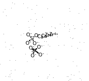 [Ca+2].[Ca+2].[O-][Si]([O-])([O-])[O-].[O-][Si]([O-])([O-])[O-].[Zr+4].[Zr+4]